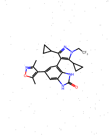 Cc1noc(C)c1-c1cc(-c2c(C3CC3)nn(CC(F)(F)F)c2C2CC2)c2[nH]c(=O)[nH]c2c1